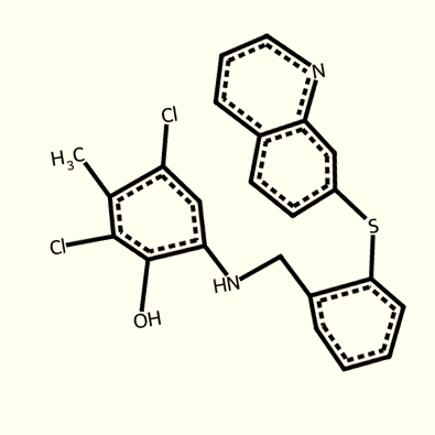 Cc1c(Cl)cc(NCc2ccccc2Sc2ccc3cccnc3c2)c(O)c1Cl